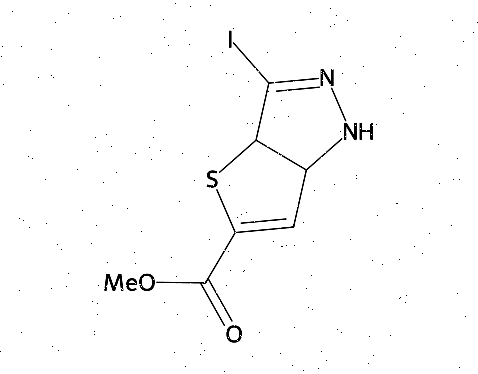 COC(=O)C1=CC2NN=C(I)C2S1